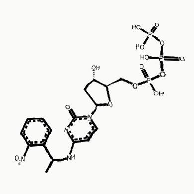 CC(Nc1ccn([C@H]2C[C@H](O)[C@@H](COP(=O)(O)OP(=O)(O)OP(=O)(O)O)O2)c(=O)n1)c1ccccc1[N+](=O)[O-]